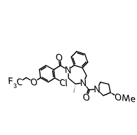 CO[C@@H]1CCN(C(=O)N2Cc3ccccc3N(C(=O)c3ccc(OCC(F)(F)F)cc3Cl)C[C@H]2C)C1